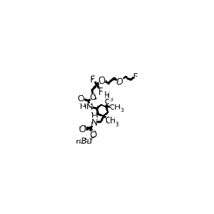 CCCCOC(=O)NCC1(C)CC(NC(=O)OCC(F)(F)OCCOCCF)CC(C)(C)C1